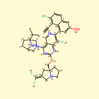 C#Cc1c(F)ccc2cc(O)cc(-c3ncc4c(N5CC6CCC(C(C)C)(C5)N6)nc(OC[C@@]56CCCN5CC(=C(F)F)C6)nc4c3F)c12